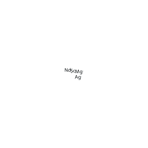 [Ag].[Mg].[Nd].[Sc]